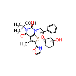 Cc1c(-c2ncco2)sc2c1c(=O)n(C(C)(C)C(=O)O)c(=O)n2C[C@H](O[C@H]1CCC[C@H](O)C1)c1ccccc1